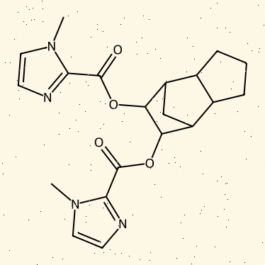 Cn1ccnc1C(=O)OC1C2CC(C3CCCC32)C1OC(=O)c1nccn1C